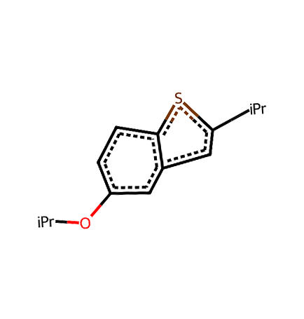 CC(C)Oc1ccc2sc(C(C)C)cc2c1